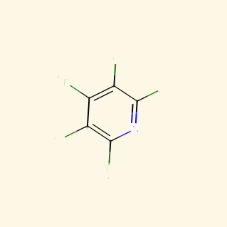 Fc1nc(F)c(Cl)c(F)c1Cl